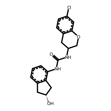 O=C(Nc1cccc2c1C[C@H](O)C2)NC1COc2cc(Cl)ccc2C1